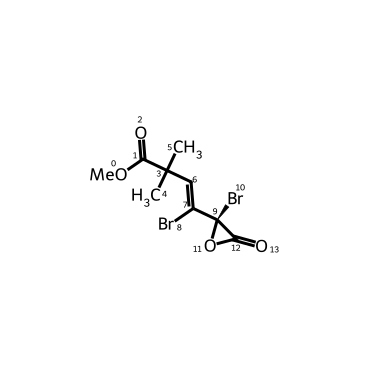 COC(=O)C(C)(C)C=C(Br)[C@@]1(Br)OC1=O